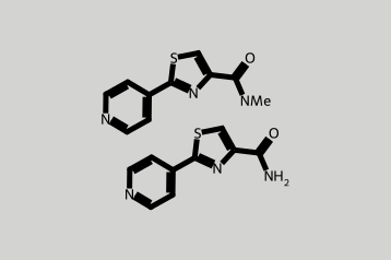 CNC(=O)c1csc(-c2ccncc2)n1.NC(=O)c1csc(-c2ccncc2)n1